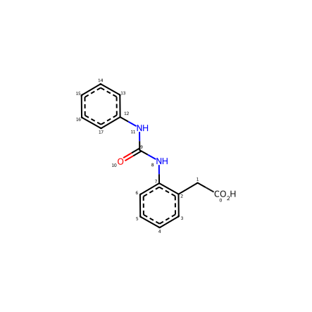 O=C(O)Cc1ccccc1NC(=O)Nc1ccccc1